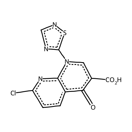 O=C(O)c1cn(-c2ncns2)c2nc(Cl)ccc2c1=O